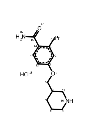 CC(C)c1cc(OCC2CCCNC2)ccc1C(N)=O.Cl